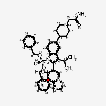 Cc1c(-c2c(C(C)C)c3cc(C4CCN(CC(N)=O)CC4)ccc3n2P(=O)(OCc2ccccc2)OCc2ccccc2)cn2ncnc2c1C